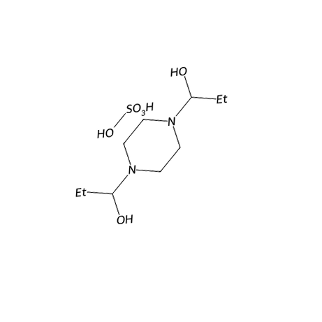 CCC(O)N1CCN(C(O)CC)CC1.O=S(=O)(O)O